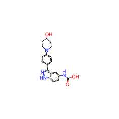 O=C(O)Nc1ccc2[nH]nc(-c3ccc(N4CCC(O)CC4)cc3)c2c1